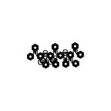 c1ccc(N(c2ccccc2)c2cc3c4c(c2)Oc2cc5c6c(c2B4c2ccccc2O3)Oc2ccccc2B6c2cc3c(cc2N5c2ccccc2)Oc2cc(N(c4ccccc4)c4ccccc4)cc4c2B3c2ccccc2N4c2ccccc2)cc1